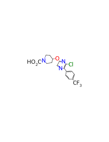 O=C(O)N1CCC(Oc2cnc(-c3ccc(C(F)(F)F)cc3)c(Cl)n2)CC1